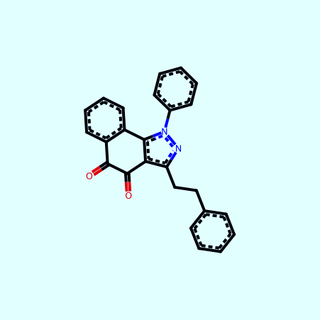 O=C1C(=O)c2c(CCc3ccccc3)nn(-c3ccccc3)c2-c2ccccc21